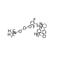 Cc1cc(C2CCCc3nc(SCc4c(F)ccc(OCCOCCOCCN(C)C)c4F)n(-c4ccc(F)cc4)c32)ccc1Cl